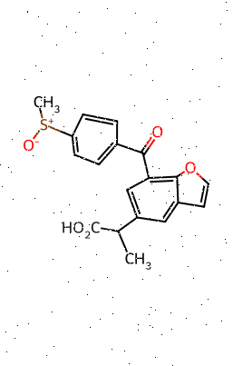 CC(C(=O)O)c1cc(C(=O)c2ccc([S+](C)[O-])cc2)c2occc2c1